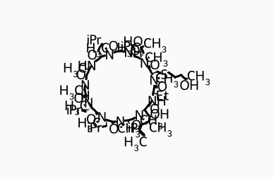 C/C=C/C[C@@H](C)[C@@H](O)[C@H]1C(=O)N[C@H](CC)C(=O)N(C)[C@H](CSCCCC(C)O)C(=O)N(C)[C@@H](CC(C)(C)O)C(=O)N[C@H](C(C)C)C(=O)N(C)[C@H](CCC(C)C)C(=O)N[C@H](C)C(=O)N[C@@H](C)C(=O)N(C)[C@@H](CC(C)C)C(=O)N(C)[C@H](CC(C)C)C(=O)N(C)[C@H](C(C)C)C(=O)N1C